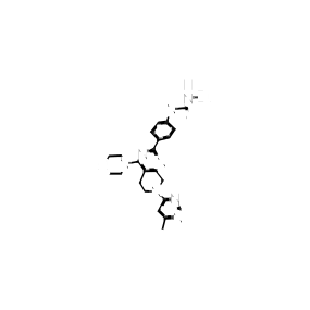 CCNC(=O)Nc1ccc(-c2nc3c(c(N4CCOCC4)n2)CCN(c2cc(C)ncn2)C3)cc1